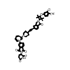 CC1(C)C(Oc2ccc(C#N)c(Cl)c2)C(C)(C)C1N1Cc2cc(C#CC3CCN(C4=CN(c5ccc6c(c5)C(=O)N(C5CCC(=O)NC5=O)C6=O)C=CC=C4)CC3)ccc2C1=O